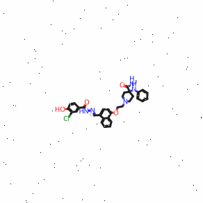 NC(=O)C1(Nc2ccccc2)CCN(CCOc2ccc(/C=N/NC(=O)c3ccc(O)c(Cl)c3)c3ccccc23)CC1